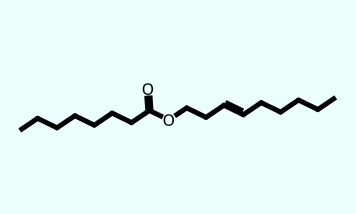 CCCCCC=CCCOC(=O)CCCCCCC